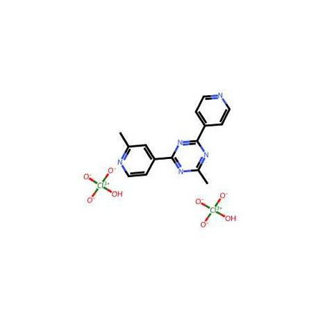 Cc1cc(-c2nc(C)nc(-c3ccncc3)n2)ccn1.[O-][Cl+3]([O-])([O-])O.[O-][Cl+3]([O-])([O-])O